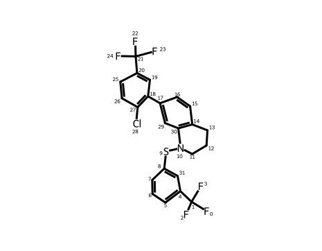 FC(F)(F)c1cccc(SN2CCCc3ccc(-c4cc(C(F)(F)F)ccc4Cl)cc32)c1